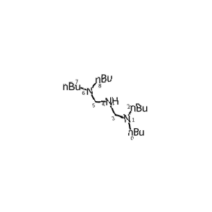 CCCCN(CCCC)CNCN(CCCC)CCCC